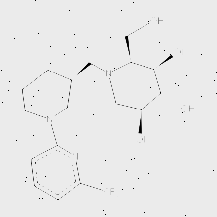 OC[C@H]1[C@@H](O)[C@H](O)[C@@H](O)CN1C[C@@H]1CCCN(c2cccc(C(F)(F)F)n2)C1